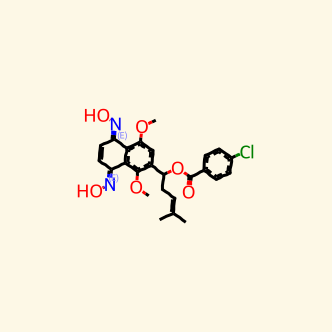 COc1cc(C(CC=C(C)C)OC(=O)c2ccc(Cl)cc2)c(OC)c2c1/C(=N/O)C=C/C2=N\O